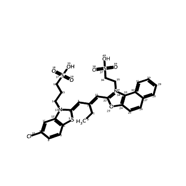 CCC(/C=C1\Sc2ccc(Cl)cc2N1CCCS(=O)(=O)O)=C\c1oc2ccc3ccccc3c2[n+]1CCS(=O)(=O)O